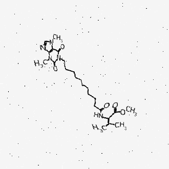 COC(=O)C(NC(=O)CCCCCCCCCCn1c(=O)c2c(ncn2C)n(C)c1=O)C(C)C